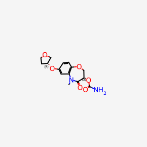 CN1C(=O)[C@@H](OC(N)=O)COc2ccc(O[C@@H]3CCOC3)cc21